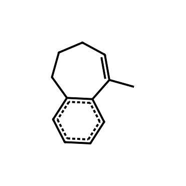 CC1=CCCCc2ccccc21